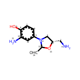 NC[C@H]1CN(c2ccc(O)c(N)c2)C(C=O)O1